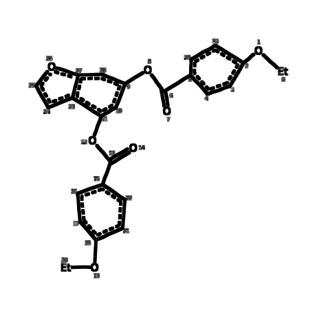 CCOc1ccc(C(=O)Oc2cc(OC(=O)c3ccc(OCC)cc3)c3ccoc3c2)cc1